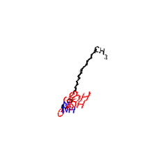 CCCCCCCCCCCCCCCCOC[C@H]1O[C@@H](n2ccc(=O)[nH]c2=O)[C@H](O)[C@@H]1O